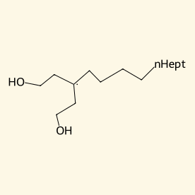 CCCCCCCCCCC[C](CCO)CCO